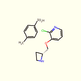 Cc1ccc(S(=O)(=O)O)cc1.Clc1ncccc1OC[C@H]1CCN1